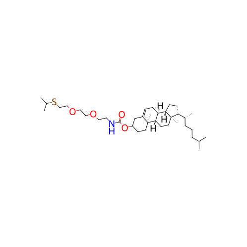 CC(C)CCC[C@@H](C)[C@H]1CC[C@H]2[C@@H]3CC=C4CC(OC(=O)NCCOCCOCCSC(C)C)CC[C@]4(C)[C@H]3CC[C@]12C